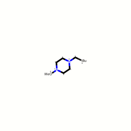 CON1CCN(CC(C)(C)C)CC1